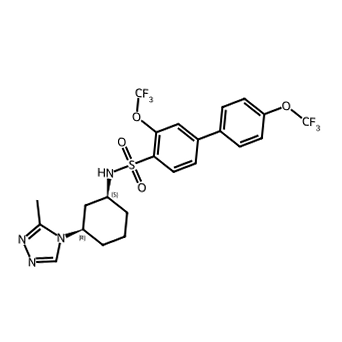 Cc1nncn1[C@@H]1CCC[C@H](NS(=O)(=O)c2ccc(-c3ccc(OC(F)(F)F)cc3)cc2OC(F)(F)F)C1